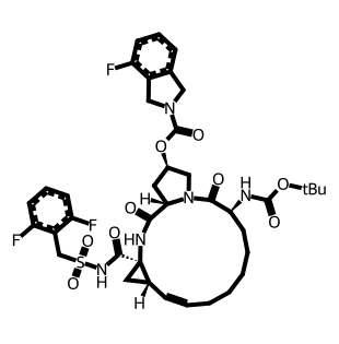 CC(C)(C)OC(=O)N[C@H]1CCCCC/C=C\[C@@H]2C[C@@]2(C(=O)NS(=O)(=O)Cc2c(F)cccc2F)NC(=O)[C@@H]2C[C@@H](OC(=O)N3Cc4cccc(F)c4C3)CN2C1=O